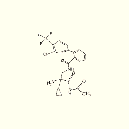 CC(=O)NC(=O)C(N)(CNC(=O)c1ccccc1-c1ccc(C(F)(F)F)c(Cl)c1)C1CC1